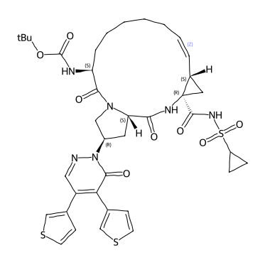 CC(C)(C)OC(=O)N[C@H]1CCCCC/C=C\[C@@H]2C[C@@]2(C(=O)NS(=O)(=O)C2CC2)NC(=O)[C@@H]2C[C@@H](n3ncc(-c4ccsc4)c(-c4ccsc4)c3=O)CN2C1=O